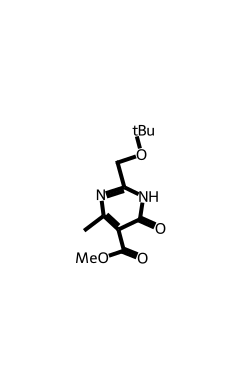 COC(=O)c1c(C)nc(COC(C)(C)C)[nH]c1=O